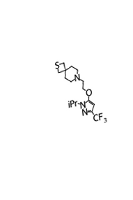 CC(C)n1nc(C(F)(F)F)cc1OCCN1CCC2(CC1)CSC2